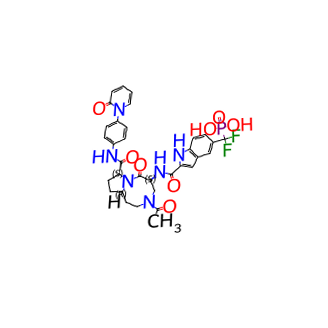 CC(=O)N1CC[C@H]2CC[C@@H](C(=O)Nc3ccc(-n4ccccc4=O)cc3)N2C(=O)[C@@H](NC(=O)c2cc3cc(C(F)(F)P(=O)(O)O)ccc3[nH]2)C1